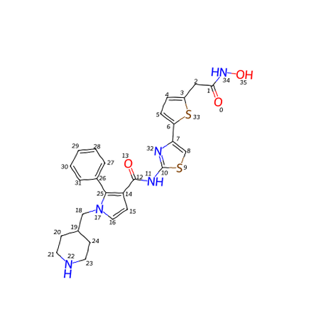 O=C(Cc1ccc(-c2csc(NC(=O)c3ccn(CC4CCNCC4)c3-c3ccccc3)n2)s1)NO